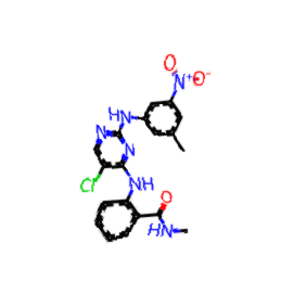 CNC(=O)c1ccccc1Nc1nc(Nc2cc(C)cc([N+](=O)[O-])c2)ncc1Cl